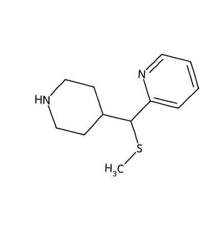 CSC(c1ccccn1)C1CCNCC1